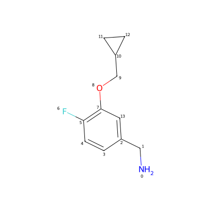 NCc1ccc(F)c(OCC2CC2)c1